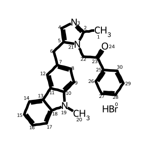 Br.Cc1ncc(Cc2ccc3c(c2)c2ccccc2n3C)n1CC(=O)c1ccccc1